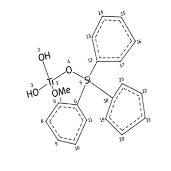 C[O][Ti]([OH])([OH])[O][Si](c1ccccc1)(c1ccccc1)c1ccccc1